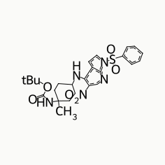 CC1(NC(=O)OC(C)(C)C)CCC(Nc2c([N+](=O)[O-])cnc3c2ccn3S(=O)(=O)c2ccccc2)CC1